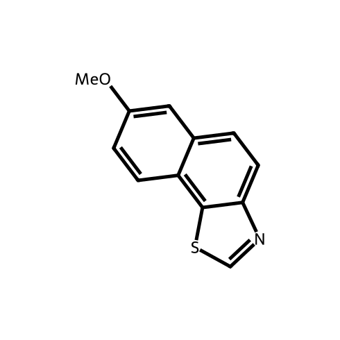 COc1ccc2c(ccc3ncsc32)c1